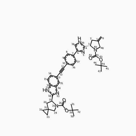 C=C1C[C@@H](c2nc(-c3ccc(C#Cc4ccc5[nH]c([C@@H]6CC7(CC7)CN6C(=O)OC(C)(C)C)nc5c4)cc3)c[nH]2)N(C(=O)OC(C)(C)C)C1